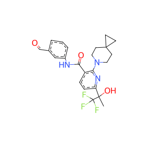 CC(O)(c1ccc(C(=O)Nc2cccc(C=O)c2)c(N2CCC3(CC2)CC3)n1)C(F)(F)F